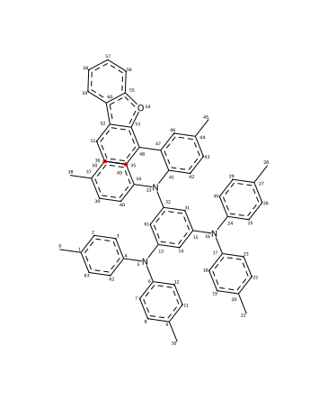 Cc1ccc(N(c2ccc(C)cc2)c2cc(N(c3ccc(C)cc3)c3ccc(C)cc3)cc(N(c3ccc(C)cc3)c3ccc(C)cc3-c3cccc4c3oc3ccccc34)c2)cc1